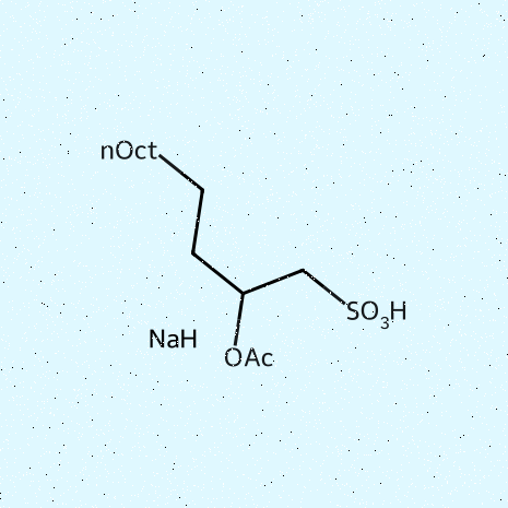 CCCCCCCCCCC(CS(=O)(=O)O)OC(C)=O.[NaH]